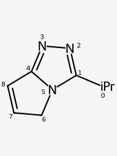 CC(C)c1nnc2n1CC=C2